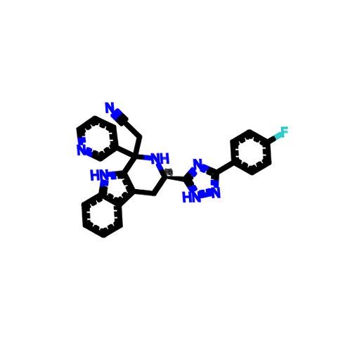 N#CCC1(c2cccnc2)N[C@@H](c2nc(-c3ccc(F)cc3)n[nH]2)Cc2c1[nH]c1ccccc21